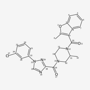 Cc1oc2ccccc2c1C(=O)N1CCN(C(=O)c2ncn(-c3cccc(Cl)c3)n2)CC1C